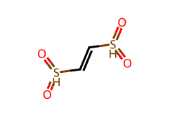 O=[SH](=O)C=C[SH](=O)=O